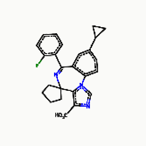 O=C(O)c1ncn2c1C1(CCCC1)N=C(c1ccccc1F)c1cc(C3CC3)ccc1-2